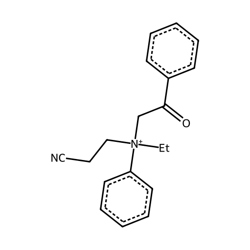 CC[N+](CCC#N)(CC(=O)c1ccccc1)c1ccccc1